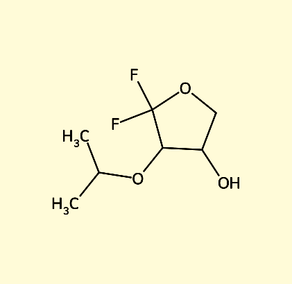 CC(C)OC1C(O)COC1(F)F